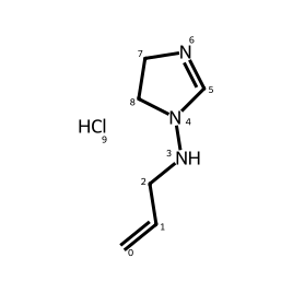 C=CCNN1C=NCC1.Cl